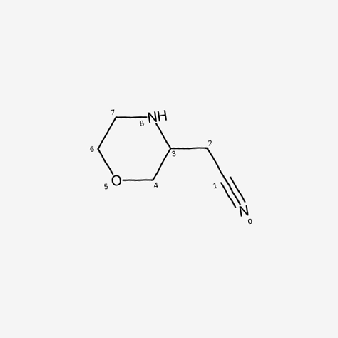 N#CCC1COCCN1